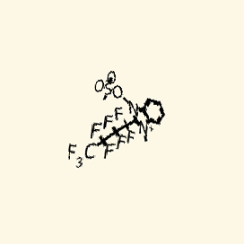 CS(=O)(=O)[O-].Cn1c(C(F)(F)C(F)(F)C(F)(F)C(F)(F)F)[n+](C)c2ccccc21